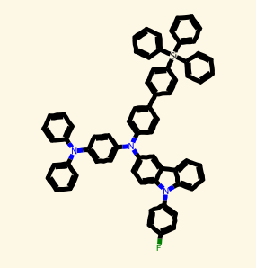 Fc1ccc(-n2c3ccccc3c3cc(N(c4ccc(-c5ccc([Si](c6ccccc6)(c6ccccc6)c6ccccc6)cc5)cc4)c4ccc(N(c5ccccc5)c5ccccc5)cc4)ccc32)cc1